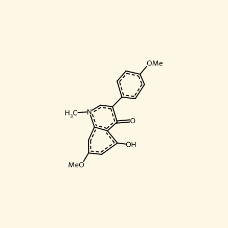 COc1ccc(-c2cn(C)c3cc(OC)cc(O)c3c2=O)cc1